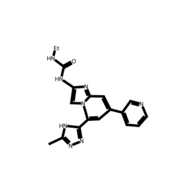 CCNC(=O)Nc1cn2c(-c3nnc(C)[nH]3)cc(-c3cccnc3)cc2n1